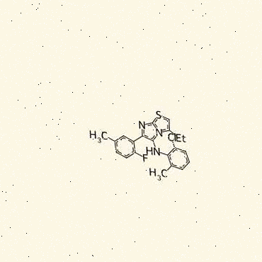 CCc1csc2nc(-c3cc(C)ccc3F)c(Nc3c(C)cccc3Cl)n12